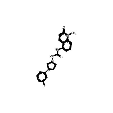 Cn1c(=O)ccc2c(NC(=O)N[C@H]3CC[C@@H](c4cccc(F)c4)C3)cccc21